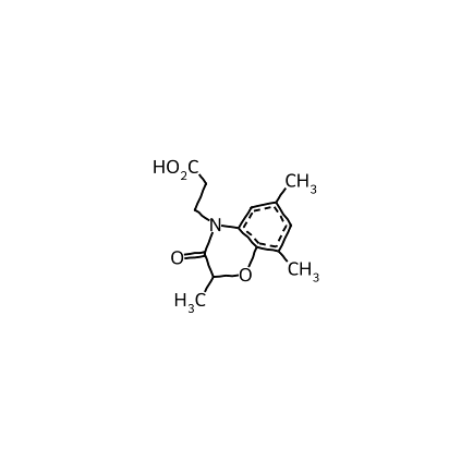 Cc1cc(C)c2c(c1)N(CCC(=O)O)C(=O)C(C)O2